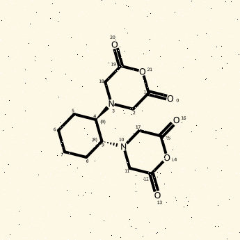 O=C1CN([C@@H]2CCCC[C@H]2N2CC(=O)OC(=O)C2)CC(=O)O1